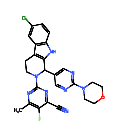 Cc1nc(N2CCc3c([nH]c4ccc(Cl)cc34)C2c2cnc(N3CCOCC3)nc2)nc(C#N)c1F